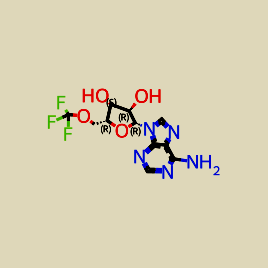 Nc1ncnc2c1ncn2[C@@H]1O[C@H](COC(F)(F)F)[C@@H](O)[C@H]1O